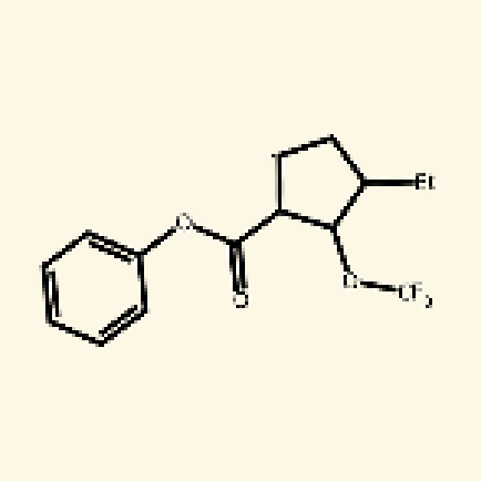 [CH2]CC1C[CH]C(C(=O)Oc2ccccc2)C1OC(F)(F)F